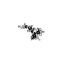 CO[C@H]1CN(c2cc(NC(=O)Cn3cc(-c4cc(Cl)c(O)c(C(N)=O)c4)c4c(=O)n(C)c(C(F)(F)F)nc43)c(Cl)c(F)n2)C[C@H]1F